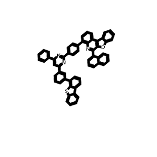 c1ccc(-c2cc(-c3cccc(-c4cccc5c4sc4ccccc45)c3)nc(-c3ccc(-c4cccc5c4nc(-c4cccc6ccccc46)c4oc6ccccc6c45)cc3)n2)cc1